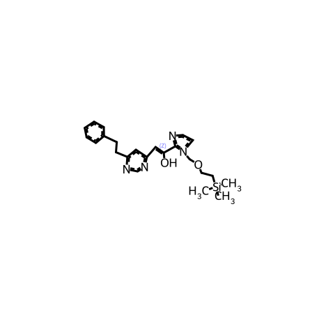 C[Si](C)(C)CCOCn1ccnc1/C(O)=C/c1cc(CCc2ccccc2)ncn1